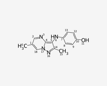 Cc1cnc2c(Nc3ccc(O)cc3)c(C)nn2c1